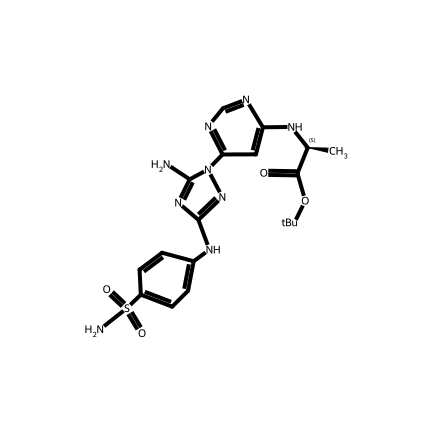 C[C@H](Nc1cc(-n2nc(Nc3ccc(S(N)(=O)=O)cc3)nc2N)ncn1)C(=O)OC(C)(C)C